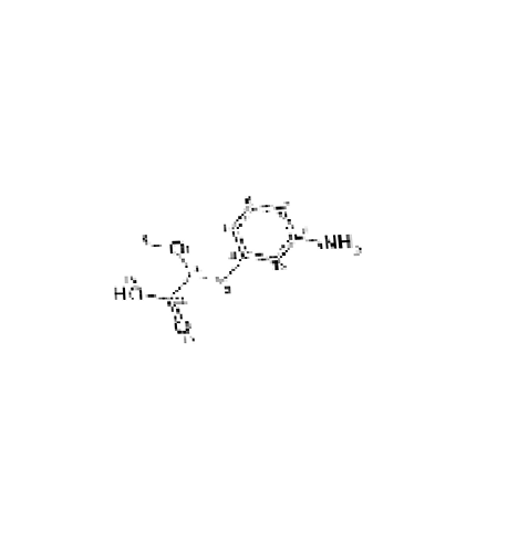 CO[C@H](Cc1cccc(N)c1)C(=O)O